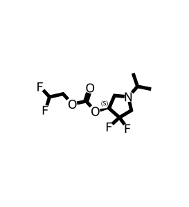 CC(C)N1C[C@H](OC(=O)OCC(F)F)C(F)(F)C1